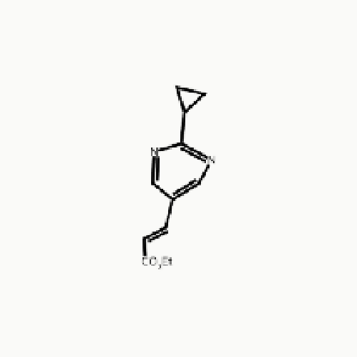 CCOC(=O)/C=C/c1cnc(C2CC2)nc1